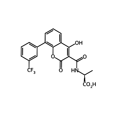 C[C@H](NC(=O)c1c(O)c2cccc(-c3cccc(C(F)(F)F)c3)c2oc1=O)C(=O)O